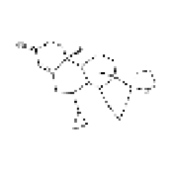 C[C@]12CCC3C(C(C4CC4)CC4=CC(=N)CC[C@@H]43)C1C1CC1[C@@]21CCCO1